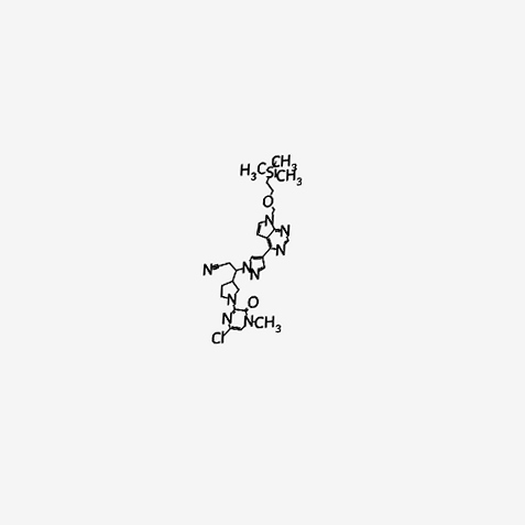 Cn1cc(Cl)nc(N2CCC(C(CC#N)n3cc(-c4ncnc5c4ccn5COCC[Si](C)(C)C)cn3)C2)c1=O